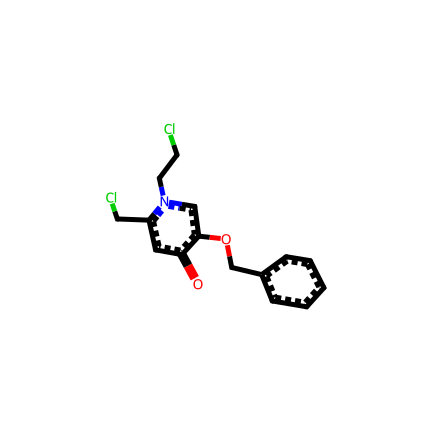 O=c1cc(CCl)n(CCCl)cc1OCc1ccccc1